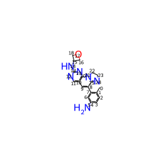 Cc1ccc(N)cc1C1=Cc2cnc(NC3COC3)nc2N2CCN=C12